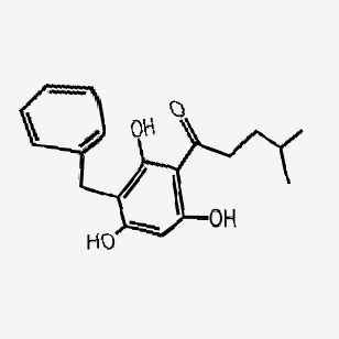 CC(C)CCC(=O)c1c(O)cc(O)c(Cc2ccccc2)c1O